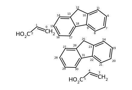 C=CC(=O)O.C=CC(=O)O.c1ccc2c(c1)Cc1ccccc1-2.c1ccc2c(c1)Cc1ccccc1-2